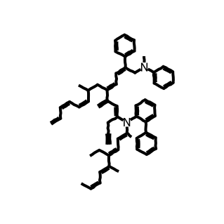 C#CC/C(=C\C(=C)/C(=C/C=C(\CN(C)c1ccccc1)c1ccccc1)CC(C)/C=C\C=C/C=C)N(/C(C)=C/C=C(CC)/C(C)=C/C=C\C)c1ccccc1-c1ccccc1